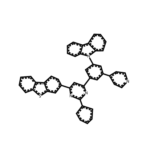 c1ccc(-c2nc(-c3cc(-c4ccncc4)cc(-n4c5ccccc5c5ccccc54)c3)cc(-c3ccc4c(c3)sc3ccccc34)n2)cc1